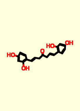 O=C(CC=Cc1ccc(O)cc1O)CC=Cc1ccc(O)cc1O